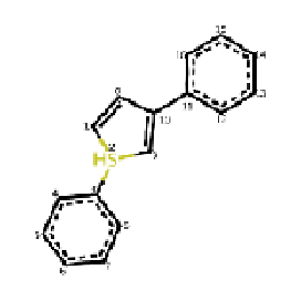 [C]1=C[SH](c2ccccc2)C=C1c1ccccc1